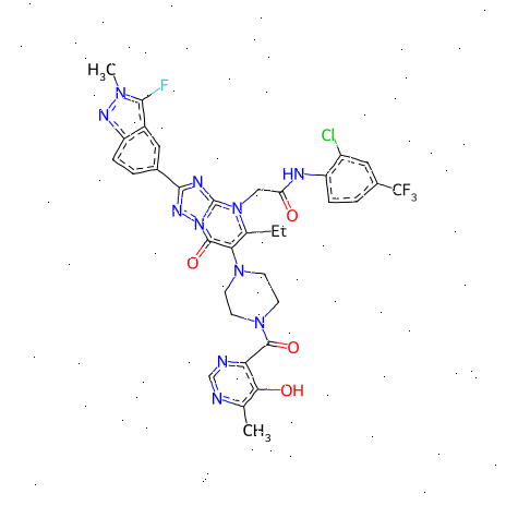 CCc1c(N2CCN(C(=O)c3ncnc(C)c3O)CC2)c(=O)n2nc(-c3ccc4nn(C)c(F)c4c3)nc2n1CC(=O)Nc1ccc(C(F)(F)F)cc1Cl